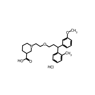 COc1cccc(C(CCOCCN2CCCC(C(=O)O)C2)c2ccccc2C)c1.Cl